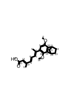 COc1cc(C(C)=CC=CC(C)=CC(=O)O)c(OC)c2c1C1CCC2C1